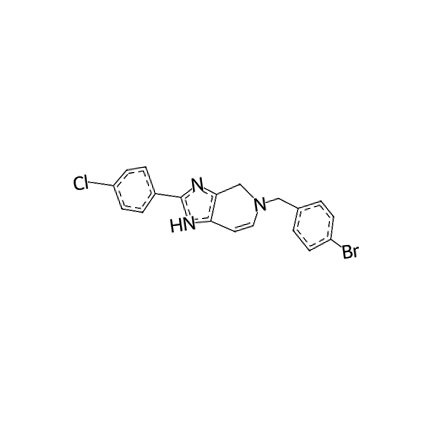 Clc1ccc(-c2nc3c([nH]2)C=CN(Cc2ccc(Br)cc2)C3)cc1